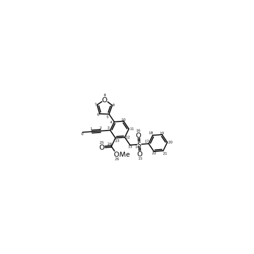 CC#Cc1c(-c2ccoc2)ccc(CS(=O)(=O)c2ccccc2)c1C(=O)OC